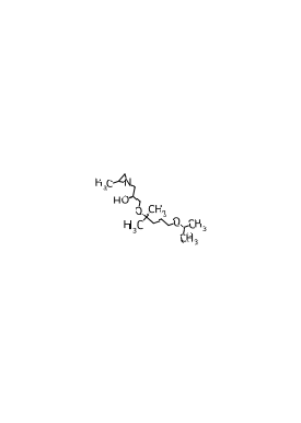 CC(C)OCCCC(C)(C)OCC(O)CN1CC1C